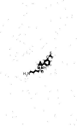 NCCCCS(=O)(=O)NC1(c2cccc(OC(F)F)c2)CC1